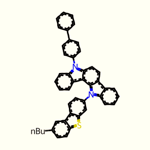 CCCCc1ccc2sc3cc(-n4c5ccccc5c5ccc6c(c7ccccc7n6-c6ccc(-c7ccccc7)cc6)c54)ccc3c2c1